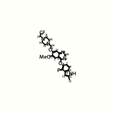 COc1cc2c(Oc3ccc4[nH]c(C)cc4c3F)ncnc2cc1OCN1CCN(CC(F)(F)F)CC1